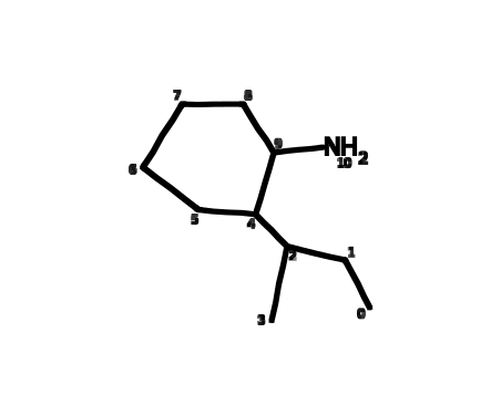 CCC(C)C1CCCCC1N